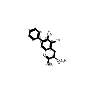 CCCCC(=O)[C@@H](Cc1ccc(-c2ccccc2)c(C#N)c1F)C(=O)O